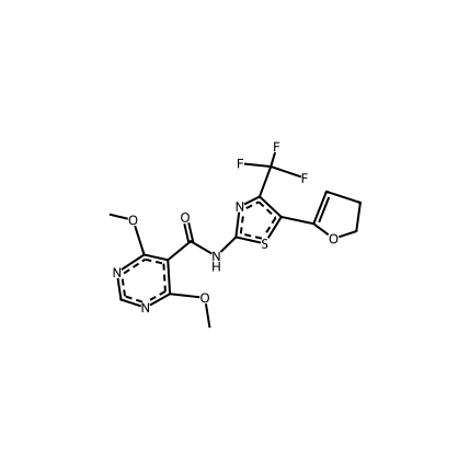 COc1ncnc(OC)c1C(=O)Nc1nc(C(F)(F)F)c(C2=CCCO2)s1